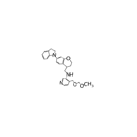 COCOCc1ccncc1NCC1CCOc2cc(N3CCc4ccccc43)ccc21